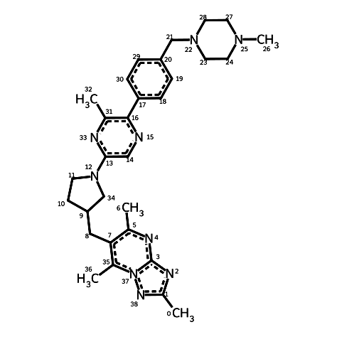 Cc1nc2nc(C)c(CC3CCN(c4cnc(-c5ccc(CN6CCN(C)CC6)cc5)c(C)n4)C3)c(C)n2n1